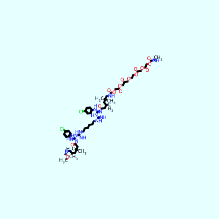 CNC(=O)OCC(=O)OCC(=O)OCCOCC(=O)COC(=O)COC(=O)NCC(C)(C)CC(C)CC(=O)/N=C(/NC(=N)NCCCCCCNC(=N)N/C(=N/C(=O)CC(C)(C)CC(C)C/N=C\OC)Nc1ccc(Cl)cc1)Nc1ccc(Cl)cc1